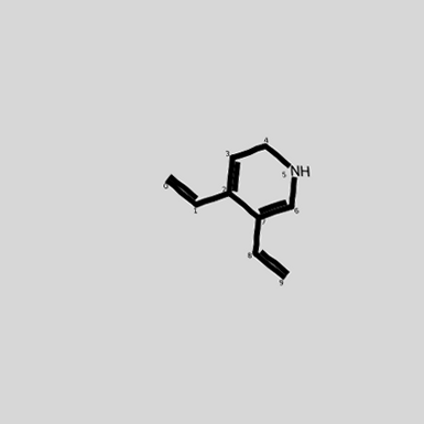 C=CC1=CCNC=C1C=C